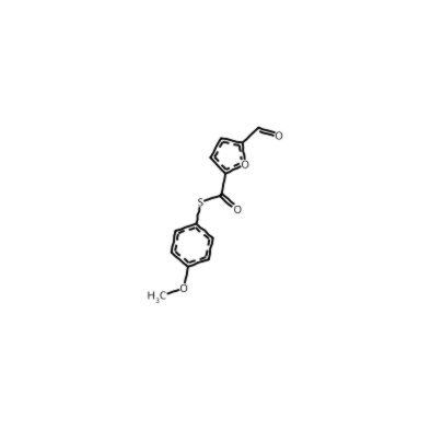 COc1ccc(SC(=O)c2ccc(C=O)o2)cc1